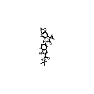 CC(C)(C)NC(=O)c1cc2cc(NC(=O)C3(c4ccc5c(c4)OCO5)CC3)ccc2[nH]1